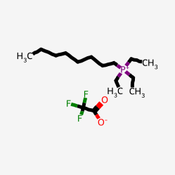 CCCCCCCC[P+](CC)(CC)CC.O=C([O-])C(F)(F)F